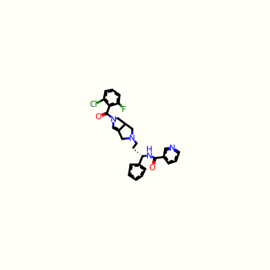 O=C(N[C@@H](CCN1CC2=CN(C(=O)c3c(F)cccc3Cl)CC2C1)c1ccccc1)c1cccnc1